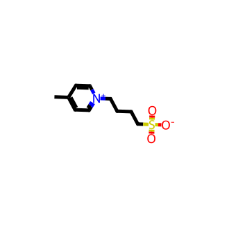 Cc1cc[n+](CCCCS(=O)(=O)[O-])cc1